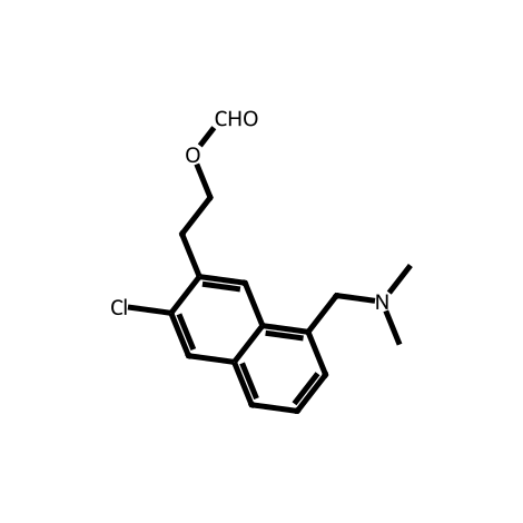 CN(C)Cc1cccc2cc(Cl)c(CCOC=O)cc12